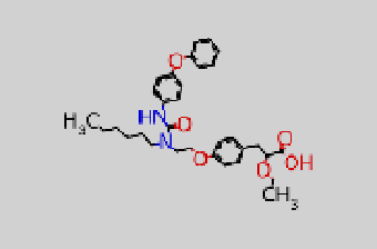 CCCCCCN(CCOc1ccc(CC(OCC)C(=O)O)cc1)C(=O)Nc1ccc(Oc2ccccc2)cc1